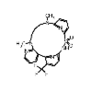 CN1CCCN(C)c2ncccc2-c2nc(ccc2C(F)(F)F)NS(=O)(=O)c2cccc1n2